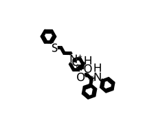 O=C(O[C@H]1C[N+]2(CCCSc3ccccc3)CCC1CC2)[C@H](Nc1ccccc1)c1ccccc1